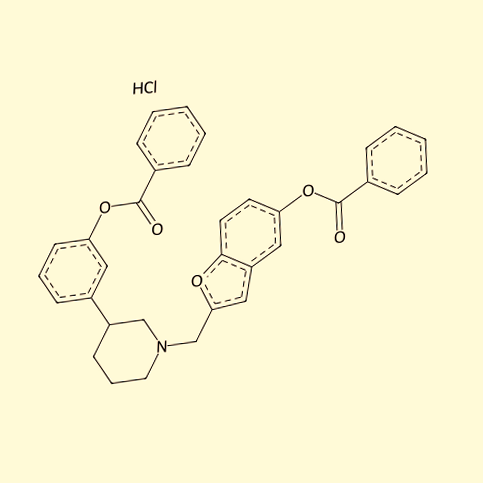 Cl.O=C(Oc1cccc(C2CCCN(Cc3cc4cc(OC(=O)c5ccccc5)ccc4o3)C2)c1)c1ccccc1